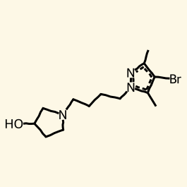 Cc1nn(CCCCN2CCC(O)C2)c(C)c1Br